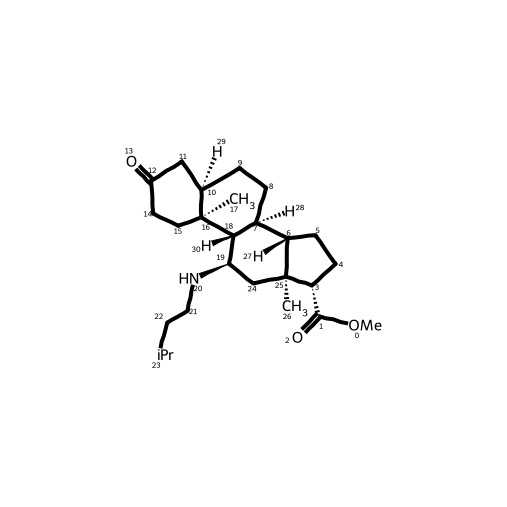 COC(=O)[C@H]1CC[C@H]2[C@@H]3CC[C@@H]4CC(=O)CC[C@]4(C)[C@H]3[C@H](NCCC(C)C)C[C@]12C